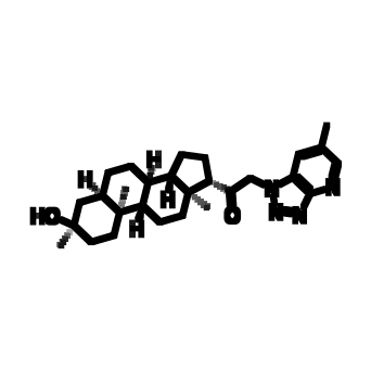 Cc1cnc2nnn(CC(=O)[C@H]3CC[C@H]4[C@@H]5CC[C@@H]6C[C@](C)(O)CC[C@]6(C)[C@H]5CC[C@]34C)c2c1